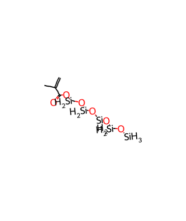 C=C(C)C(=O)O[SiH2]O[SiH2]O[SiH2]O[SiH2]O[SiH3]